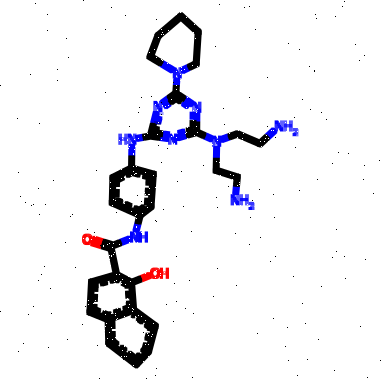 NCCN(CCN)c1nc(Nc2ccc(NC(=O)c3ccc4ccccc4c3O)cc2)nc(N2CCCCC2)n1